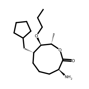 CCCO[C@@H]1[C@@H](CC2CCCC2)CCC[C@H](N)C(=O)O[C@H]1C